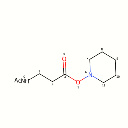 CC(=O)NCCC(=O)ON1CCCCC1